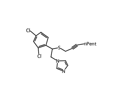 CCCCCC#CCSC(Cn1ccnc1)c1ccc(Cl)cc1Cl